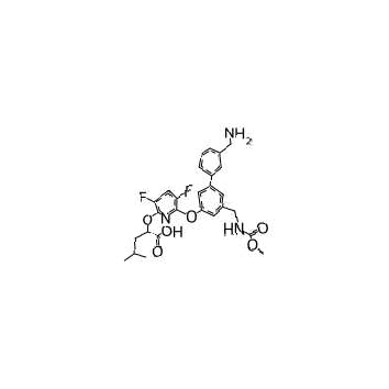 COC(=O)NCc1cc(Oc2nc(OC(CC(C)C)C(=O)O)c(F)cc2F)cc(-c2cccc(CN)c2)c1